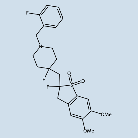 COc1cc2c(cc1OC)S(=O)(=O)C(F)(CC1(F)CCN(Cc3ccccc3F)CC1)C2